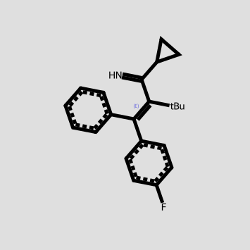 CC(C)(C)/C(C(=N)C1CC1)=C(/c1ccccc1)c1ccc(F)cc1